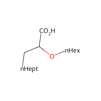 CCCCCCCCC(OCCCCCC)C(=O)O